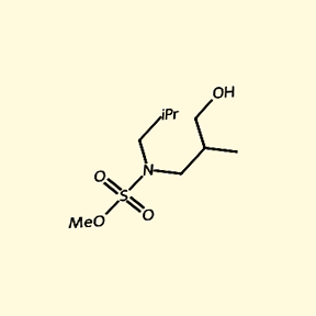 COS(=O)(=O)N(CC(C)C)CC(C)CO